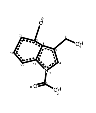 O=C(O)n1cc(CO)c2c(Cl)cccc21